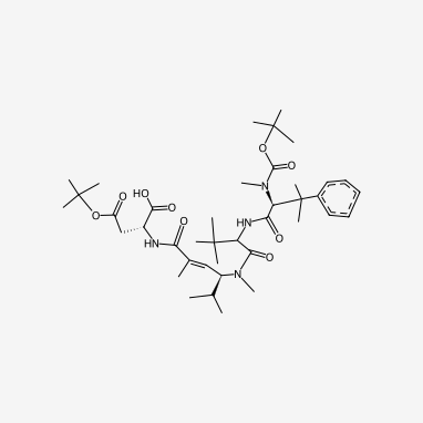 C/C(=C\[C@H](C(C)C)N(C)C(=O)C(NC(=O)[C@@H](N(C)C(=O)OC(C)(C)C)C(C)(C)c1ccccc1)C(C)(C)C)C(=O)N[C@H](CC(=O)OC(C)(C)C)C(=O)O